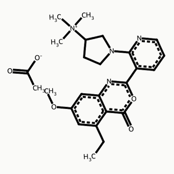 CC(=O)[O-].CCc1cc(OC)cc2nc(-c3cccnc3N3CCC([N+](C)(C)C)C3)oc(=O)c12